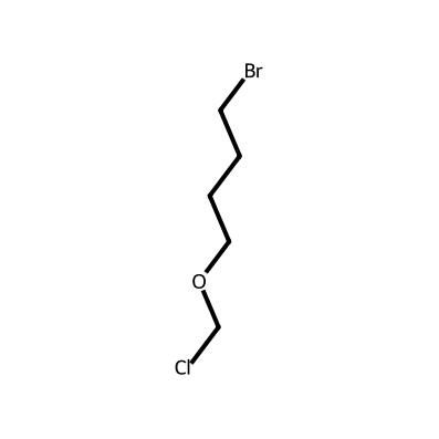 ClCOCCCCBr